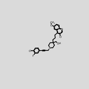 COc1ccc2ncc(Cl)c(CCCC3(CO)CCN(CC#Cc4ccc(Cl)c(F)c4)CC3)c2c1